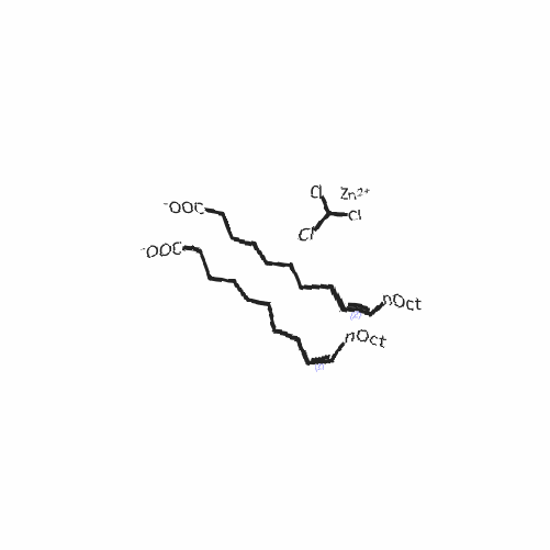 CCCCCCCC/C=C\CCCCCCCC(=O)[O-].CCCCCCCC/C=C\CCCCCCCC(=O)[O-].ClC(Cl)Cl.[Zn+2]